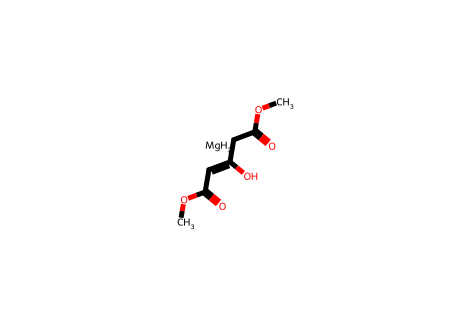 COC(=O)/C=C(\O)CC(=O)OC.[MgH2]